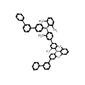 Cc1cc(-c2ccc(N(c3ccc(-c4cccc(-c5ccccc5)c4)cc3)c3c(C)cccc3C)c(C)c2)ccc1N(c1ccc(-c2cccc(-c3ccccc3)c2)cc1)c1c(C)cccc1C